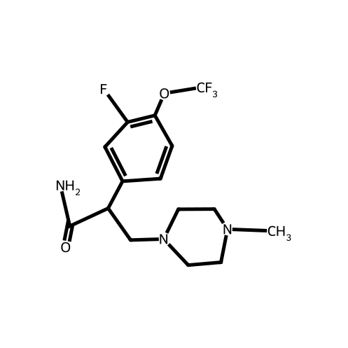 CN1CCN(CC(C(N)=O)c2ccc(OC(F)(F)F)c(F)c2)CC1